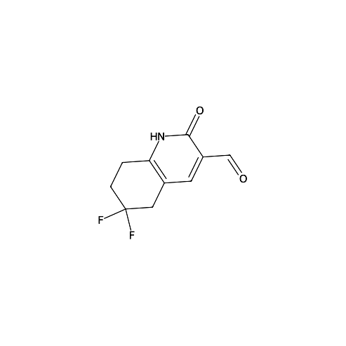 O=Cc1cc2c([nH]c1=O)CCC(F)(F)C2